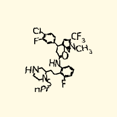 CCCSN1CCNCC1CCc1c(F)cccc1NC(=O)CC(c1ccc(Cl)c(F)c1)c1cc(C(F)(F)F)n(C)n1